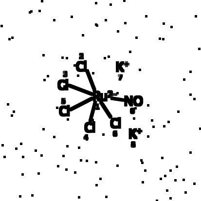 O=[N][Ru-2]([Cl])([Cl])([Cl])([Cl])[Cl].[K+].[K+]